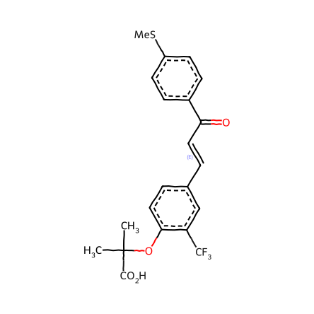 CSc1ccc(C(=O)/C=C/c2ccc(OC(C)(C)C(=O)O)c(C(F)(F)F)c2)cc1